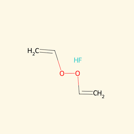 C=COOC=C.F